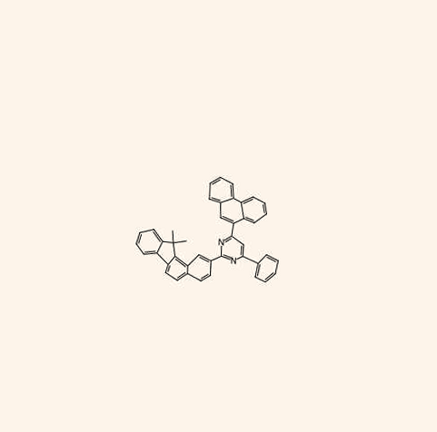 CC1(C)c2ccccc2-c2ccc3ccc(-c4nc(-c5ccccc5)cc(-c5cc6ccccc6c6ccccc56)n4)cc3c21